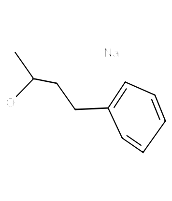 CC([O-])CCc1ccccc1.[Na+]